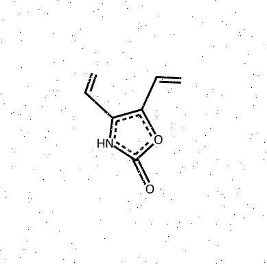 C=Cc1[nH]c(=O)oc1C=C